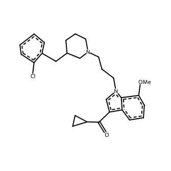 COc1cccc2c(C(=O)C3CC3)cn(CCCN3CCCC(Cc4ccccc4Cl)C3)c12